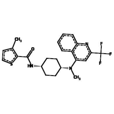 Cc1ccsc1C(=O)N[C@H]1CC[C@@H](N(C)c2cc(C(F)(F)F)nc3ccccc23)CC1